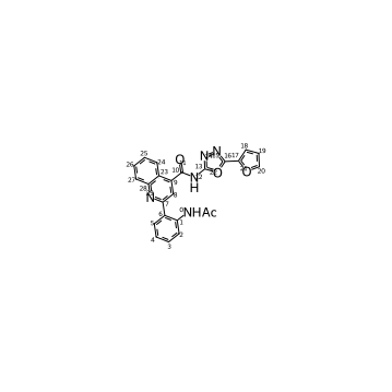 CC(=O)Nc1ccccc1-c1cc(C(=O)Nc2nnc(-c3ccco3)o2)c2ccccc2n1